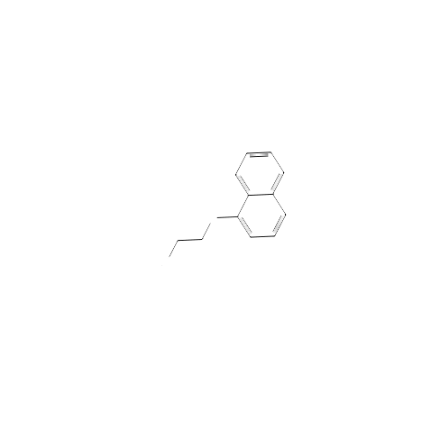 CC[CH]Sc1cccc2ccccc12